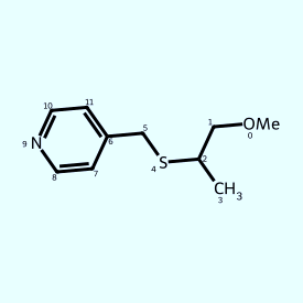 COCC(C)SCc1ccncc1